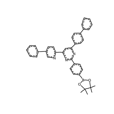 CC1(C)OB(c2ccc(-c3nc(-c4ccc(-c5ccccc5)cc4)cc(-c4ccc(-c5ccccc5)cn4)n3)cc2)OC1(C)C